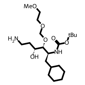 COCCOCO[C@@H]([C@H](O)CCN)[C@H](CC1CCCCC1)NC(=O)OC(C)(C)C